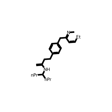 C=C(CCc1ccc(CC(/C=C\CC)=N/C)cc1)NC(CCC)CCC